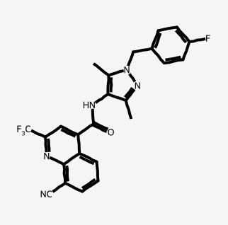 Cc1nn(Cc2ccc(F)cc2)c(C)c1NC(=O)c1cc(C(F)(F)F)nc2c(C#N)cccc12